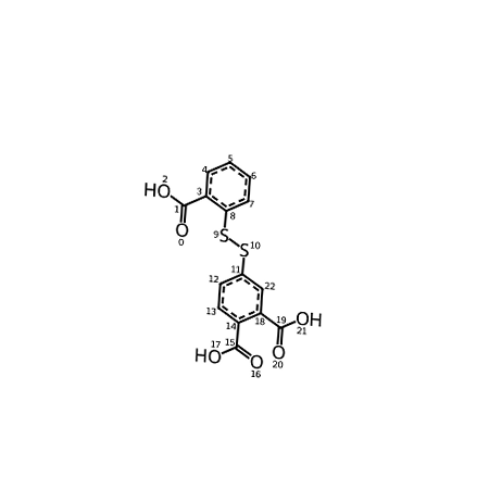 O=C(O)c1ccccc1SSc1ccc(C(=O)O)c(C(=O)O)c1